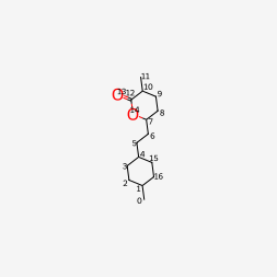 CC1CCC(CCC2CCC(C)C(=O)O2)CC1